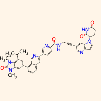 CC(C)c1cc(-c2cccc3cc(-c4ccc(C(=O)NCC#Cc5cnc6ccn(C7CCC(=O)NC7=O)c6c5)nc4)ncc23)cc2c1n(C)c(=O)n2C